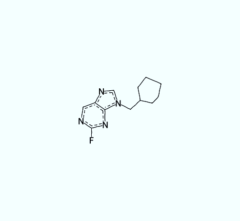 Fc1ncc2ncn(CC3CCCCC3)c2n1